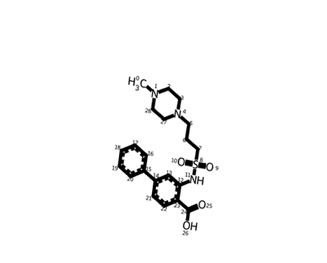 CN1CCN(CCCS(=O)(=O)Nc2cc(-c3ccccc3)ccc2C(=O)O)CC1